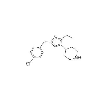 CCn1nc(Cc2ccc(Cl)cc2)cc1C1CCNCC1